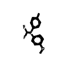 COc1ccc(P(c2ccc(C)cc2)C(F)F)cc1